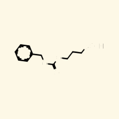 O=C(OCCCS(=O)(=O)O)OCc1ccccc1